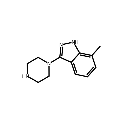 Cc1cccc2c(N3CCNCC3)n[nH]c12